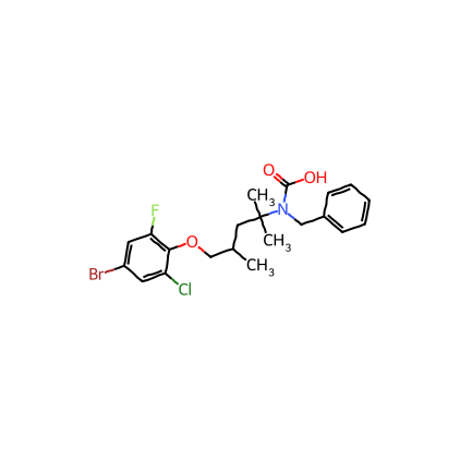 CC(COc1c(F)cc(Br)cc1Cl)CC(C)(C)N(Cc1ccccc1)C(=O)O